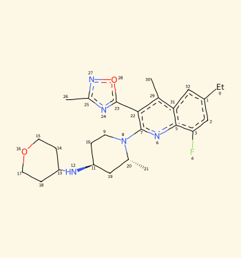 CCc1cc(F)c2nc(N3CC[C@H](NC4CCOCC4)C[C@H]3C)c(-c3nc(C)no3)c(C)c2c1